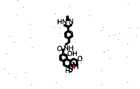 C=C1N=CC(c2ccc(CCNC(=O)c3ccc4c(c3O)[C@]35CCN(C)[C@H](C4)[C@]3(O)CCC(=O)C5)cc2)=CN1